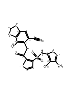 Cc1noc(NS(=O)(=O)c2ccsc2C(=O)Cc2c(C#N)cc3c(c2C)OCO3)c1Cl